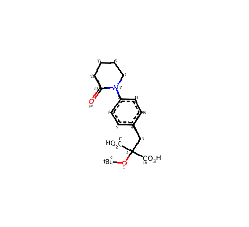 CC(C)(C)OC(Cc1ccc(N2CCCCC2=O)cc1)(C(=O)O)C(=O)O